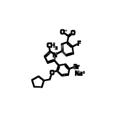 Cc1ccc(-c2cc(Br)ccc2OCC2CCCC2)n1-c1ccc(F)c(C(=O)[O-])c1.[Na+]